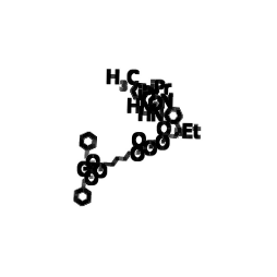 CC[C@@H](CC(=O)OCOC(=O)OCCCCCOP(=O)(OCc1ccccc1)OCc1ccccc1)c1ccc(N(CC(C)C)CC(C)C)c(NC(=O)Nc2ccc(C)cc2)c1